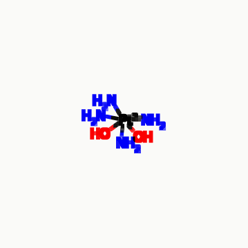 [NH2][Pt-2]([NH2])([NH2])([NH2])([OH])[OH]